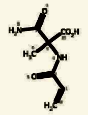 C=CC(=O)NC(C)(C(N)=O)C(=O)O